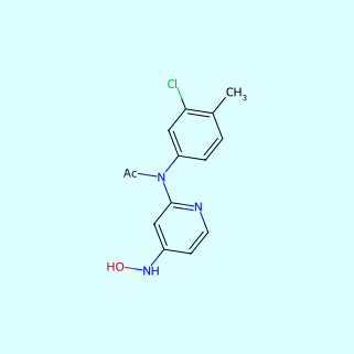 CC(=O)N(c1ccc(C)c(Cl)c1)c1cc(NO)ccn1